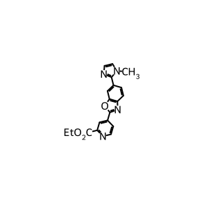 CCOC(=O)c1cc(-c2nc3ccc(-c4nccn4C)cc3o2)ccn1